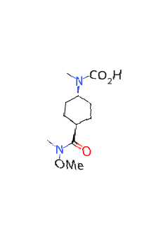 CON(C)C(=O)[C@H]1CC[C@@H](N(C)C(=O)O)CC1